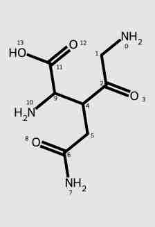 NCC(=O)C(CC(N)=O)C(N)C(=O)O